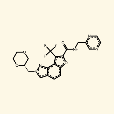 O=C(NCc1cnccn1)c1oc2ccc3cn(C[C@H]4COCCO4)nc3c2c1C(F)(F)F